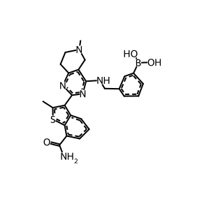 Cc1sc2c(C(N)=O)cccc2c1-c1nc2c(c(NCc3cccc(B(O)O)c3)n1)CN(C)CC2